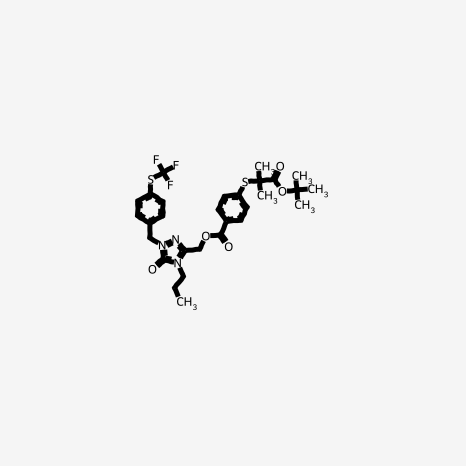 CCCn1c(COC(=O)c2ccc(SC(C)(C)C(=O)OC(C)(C)C)cc2)nn(Cc2ccc(SC(F)(F)F)cc2)c1=O